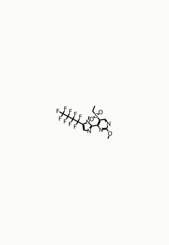 CCS(=O)(=O)c1cnc(OC)nc1-c1ncc(C(F)(F)C(F)(F)C(F)(F)C(F)(F)F)n1C